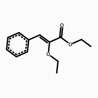 CCOC(=O)C(=Cc1ccccc1)OCC